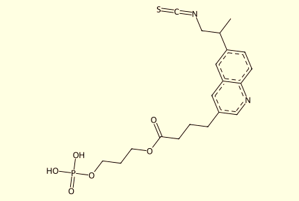 CC(CN=C=S)c1ccc2ncc(CCCC(=O)OCCCOP(=O)(O)O)cc2c1